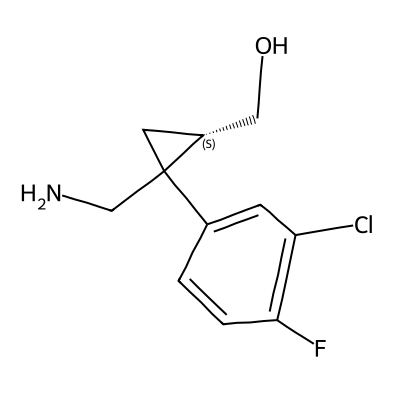 NCC1(c2ccc(F)c(Cl)c2)C[C@@H]1CO